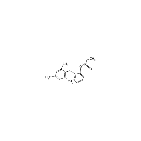 CC[PH](=O)Oc1ccccc1Cc1c(C)cc(C)cc1C